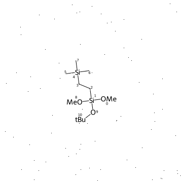 CO[Si](CC[Si](C)(C)C)(OC)OC(C)(C)C